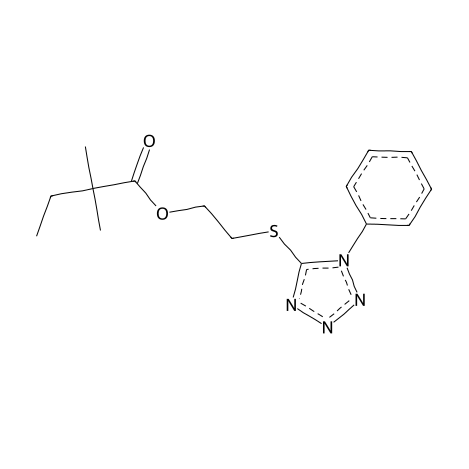 CCC(C)(C)C(=O)OCCSc1nnnn1-c1ccccc1